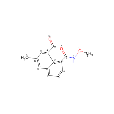 CONC(=O)c1cccc2cc(C)cc(C=O)c12